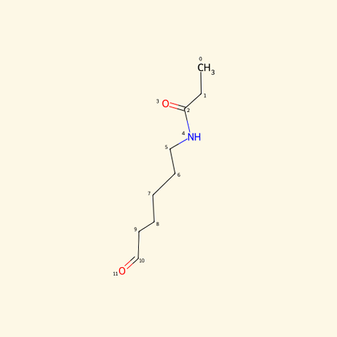 CCC(=O)NCCCCCC=O